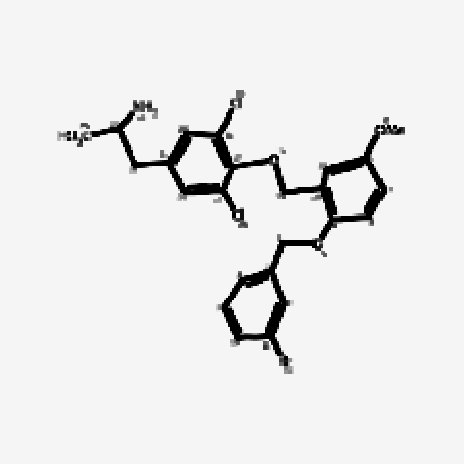 COc1ccc(OCc2cccc(Br)c2)c(COc2c(Cl)cc(CC(N)C(=O)O)cc2Cl)c1